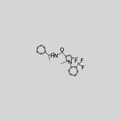 Cc1cc(C(=O)NCC(C)c2ccccc2)c(C)n1-c1ccccc1C(F)(F)F